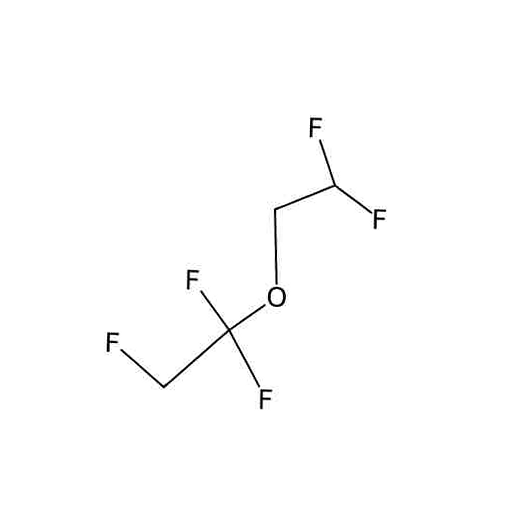 FCC(F)(F)OCC(F)F